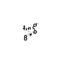 CCOC(=O)[C@@]1(NC(=O)[C@@H]2C[C@@H](Oc3cc(-c4ccccc4)nc4cc(OC)ccc34)CN2C(=O)N[C@H](CN[C@H]2c3ccccc3C[C@H]2O)C(C)(C)C)C[C@H]1I